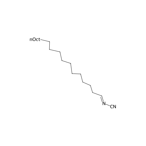 CCCCCCCCCCCCCCCCCCC=NC#N